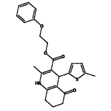 CC1=C(C(=O)OCCOc2ccccc2)C(c2ccc(C)s2)C2=C(CCCC2=O)N1